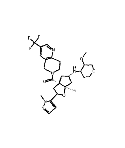 COC1COCCC1N[C@@H]1C[C@H]2OC(c3ccnn3C)C[C@@]2(C(=O)N2CCc3ncc(C(F)(F)F)cc3C2)C1